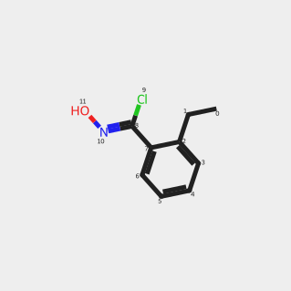 CCc1ccccc1/C(Cl)=N/O